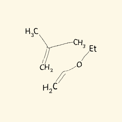 C=C(C)C.C=COCC